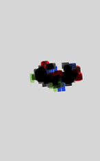 CC(=O)Nc1ccc(F)cc1C(C)(C)CC(O)(C(=O)Nc1ccc2c(=O)onc(C)c2c1)C(F)(F)F